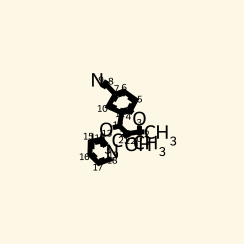 CC1(C)Oc2ccc(C#N)cc2C(Oc2ccccn2)C1(C)O